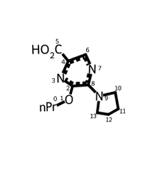 CCCOc1nc(C(=O)O)cnc1N1CCCC1